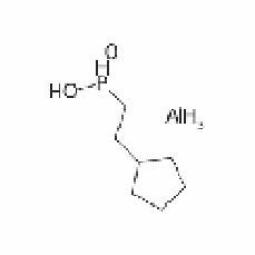 O=[PH](O)CCC1CCCC1.[AlH3]